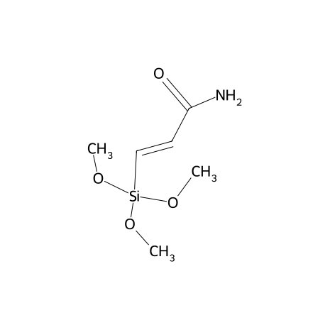 CO[Si](C=CC(N)=O)(OC)OC